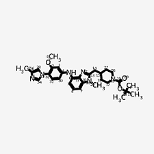 COc1cc(Nc2cccc3c2nc(CC2CCN(C(=O)OC(C)(C)C)CC2)n3C)ccc1-n1cnc(C)c1